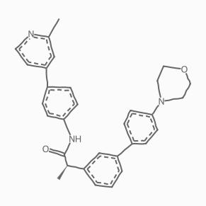 Cc1cc(-c2ccc(NC(=O)[C@H](C)c3cccc(-c4ccc(N5CCOCC5)cc4)c3)cc2)ccn1